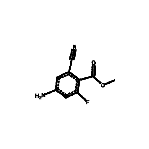 COC(=O)c1c(F)cc(N)cc1C#N